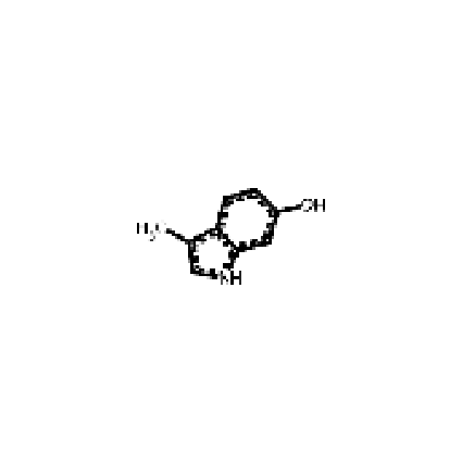 Cc1c[nH]c2cc(O)ccc12